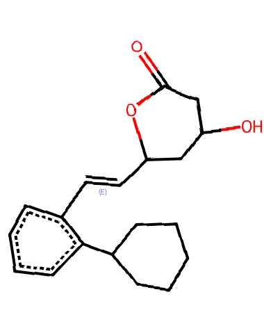 O=C1CC(O)CC(/C=C/c2ccccc2C2CCCCC2)O1